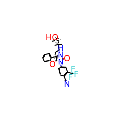 CC(C)(CC[C@@]1(c2ccccc2)NC(=O)N(c2ccc(C#N)c(C(F)(F)F)c2)C1=O)[Si](C)(C)O